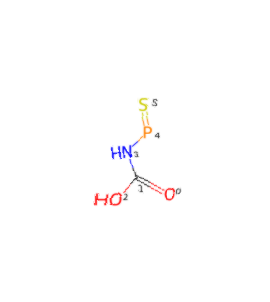 O=C(O)NP=S